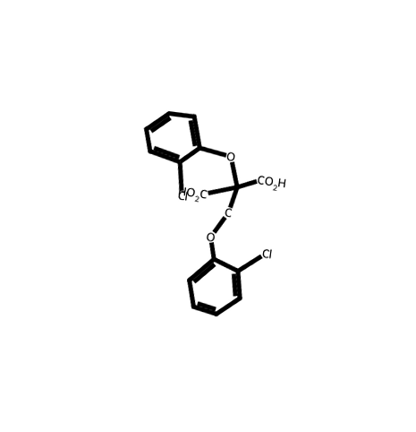 O=C(O)C(COc1ccccc1Cl)(Oc1ccccc1Cl)C(=O)O